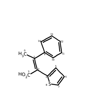 CC(=C(C(=O)O)c1cccs1)c1ccccc1